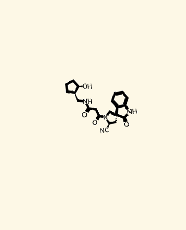 N#C[C@@H]1C[C@@]2(CN1C(=O)CC(=O)NC[C@H]1CCC[C@H]1O)C(=O)Nc1ccccc12